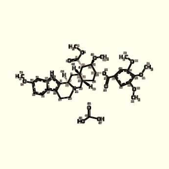 COC(=O)[C@H]1[C@H]2C[C@@H]3c4[nH]c5cc(OC)ccc5c4CCN3C[C@H]2C[C@@H](OC(=O)c2cc(OC)c(OC)c(OC)c2)[C@@H]1OC.O=C(O)O